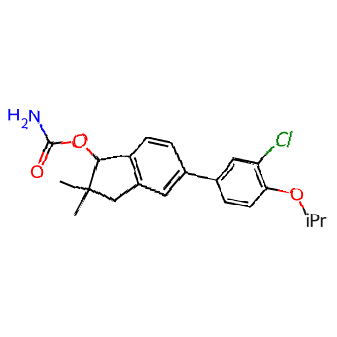 CC(C)Oc1ccc(-c2ccc3c(c2)CC(C)(C)C3OC(N)=O)cc1Cl